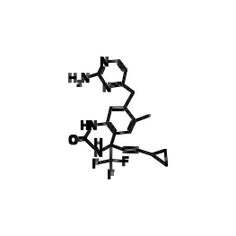 Cc1cc2c(cc1Cc1ccnc(N)n1)NC(=O)NC2(C#CC1CC1)C(F)(F)F